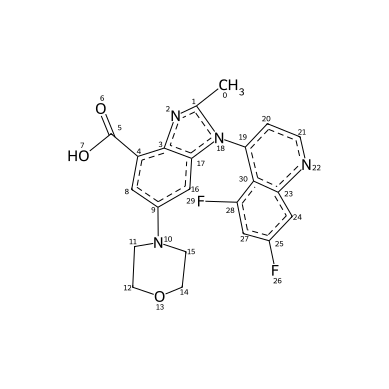 Cc1nc2c(C(=O)O)cc(N3CCOCC3)cc2n1-c1ccnc2cc(F)cc(F)c12